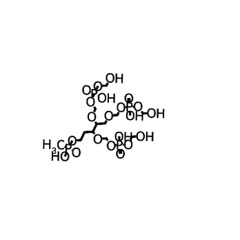 CP(=O)(O)OCCC(OCOP(=O)(O)OCO)C(COCOP(=O)(O)OCO)OCOP(=O)(O)OCO